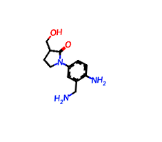 NCc1cc(N2CCC(CO)C2=O)ccc1N